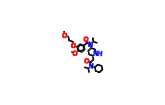 COCCCOc1cc(C(=O)N(C(C)C)[C@@H]2CC[C@H](CC(=O)N(C(C)C)C3CCCCC3)NC2)ccc1OC